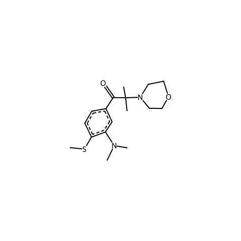 CSc1ccc(C(=O)C(C)(C)N2CCOCC2)cc1N(C)C